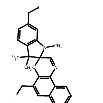 CN1c2cc(CI)ccc2C(C)(C)C12C=Nc1c(c(CI)cc3ccccc13)O2